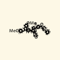 COc1ccc(CN(Cc2ccc(OC)cc2)c2ncc(-c3nc(N4CCOCC4)nc4c3CCN4c3ccc(C(=O)N4CCN(c5ccccn5)CC4)cc3F)cn2)cc1